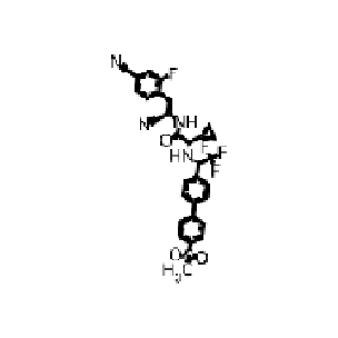 CS(=O)(=O)c1ccc(-c2ccc([C@H](N[C@H](C(=O)NC(C#N)Cc3ccc(C#N)cc3F)C3CC3)C(F)(F)F)cc2)cc1